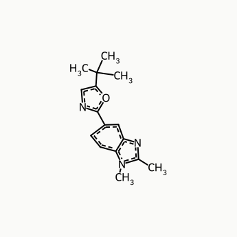 Cc1nc2cc(-c3ncc(C(C)(C)C)o3)ccc2n1C